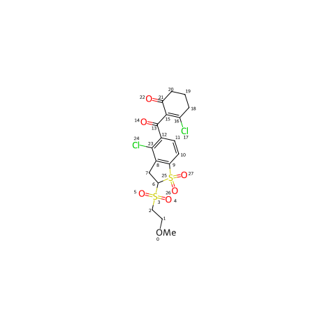 COCCS(=O)(=O)C1Cc2c(ccc(C(=O)C3=C(Cl)CCCC3=O)c2Cl)S1(=O)=O